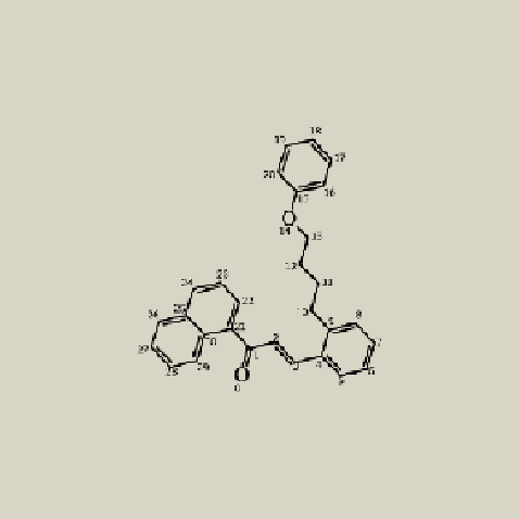 O=C(C=Cc1ccccc1CCCCOc1ccccc1)c1cccc2ccccc12